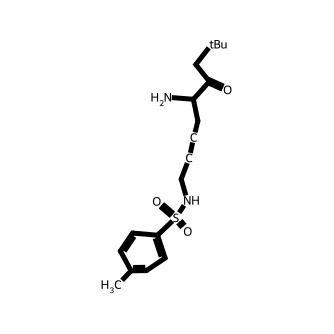 Cc1ccc(S(=O)(=O)NCCCCC(N)C(=O)CC(C)(C)C)cc1